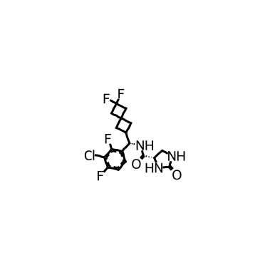 O=C1NC[C@@H](C(=O)N[C@H](c2ccc(F)c(Cl)c2F)C2CC3(C2)CC(F)(F)C3)N1